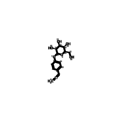 C=C=Cc1ccc(OC2O[C@H](CO)[C@@H](O)[C@H](O)[C@H]2O)cc1